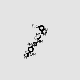 [2H][C@]1(N2CC(NC(=O)CNc3ncnc4ccc(C(F)(F)F)cc34)C2)CC[C@](O)(c2cncs2)CC1